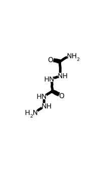 NNNC(=O)NNC(N)=O